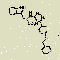 O=C(O)C(Cc1c[nH]c2ccccc12)Nc1cc(-c2ccc(OCc3ccccc3)cc2)ncn1